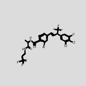 CC(NC(=O)c1ccc(/C=C/C(c2cc(Cl)c(Cl)c(Cl)c2)C(F)(F)F)cc1Br)C(=O)NCCC(F)(F)F